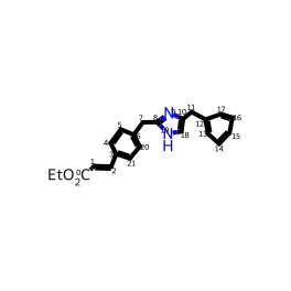 CCOC(=O)/C=C/c1ccc(Cc2nc(Cc3ccccc3)c[nH]2)cc1